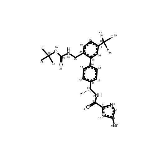 C[C@@H](NC(=O)c1ncc(Br)s1)c1ccc(-c2cc(C(F)(F)F)ccc2CNC(=O)OC(C)(C)C)cc1